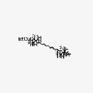 [2H]C([2H])([2H])C(CCC)(CCCCCCCCCCCCC(CC(=O)OCC)(C([2H])([2H])[2H])C([2H])([2H])[2H])C([2H])([2H])[2H]